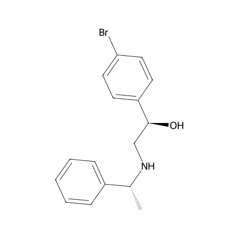 C[C@@H](NC[C@H](O)c1ccc(Br)cc1)c1ccccc1